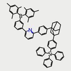 Cc1cc(C)c(B(c2cccc(-c3cccc(-c4ccc(C56CC7CC(C5)CC(c5ccc([Si](c8ccccc8)(c8ccccc8)c8ccccc8)cc5)(C7)C6)cc4)n3)c2)c2c(C)cc(C)cc2C)c(C)c1